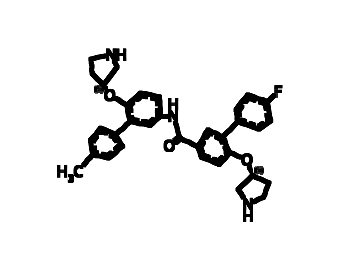 Cc1ccc(-c2cc(NC(=O)c3ccc(O[C@H]4CCNC4)c(-c4ccc(F)cc4)c3)ccc2O[C@H]2CCNC2)cc1